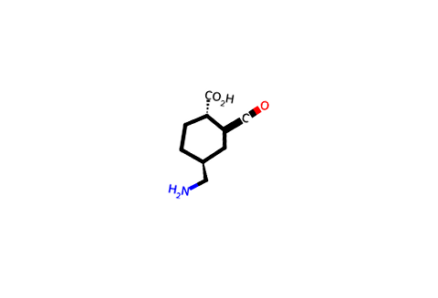 NC[C@H]1CC[C@H](C(=O)O)C(=C=O)C1